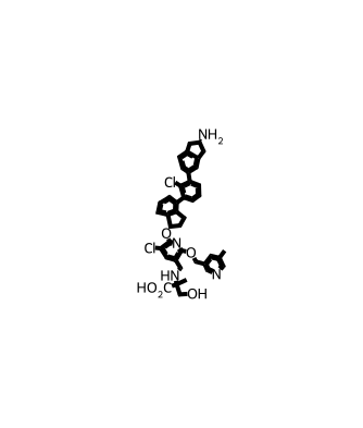 Cc1cncc(COc2nc(O[C@H]3CCc4c(-c5cccc(-c6ccc7c(c6)C[C@H](N)C7)c5Cl)cccc43)c(Cl)cc2CNC(C)(CO)C(=O)O)c1